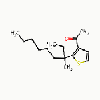 CCCCCCC(C)(CC)c1sccc1C(C)=O